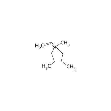 C=C[Si](C)(CCC)CCC